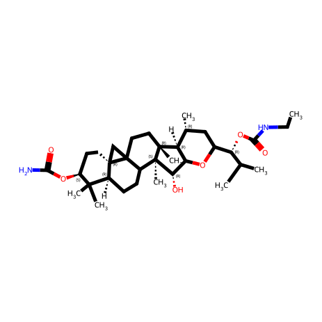 CCNC(=O)O[C@H](C(C)C)C1C[C@@H](C)[C@H]2C(O1)[C@H](O)[C@@]1(C)C3CC[C@H]4C(C)(C)[C@@H](OC(N)=O)CC[C@@]45CC35CC[C@]21C